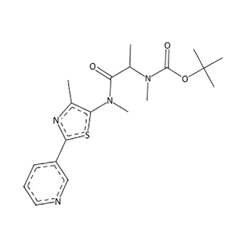 Cc1nc(-c2cccnc2)sc1N(C)C(=O)C(C)N(C)C(=O)OC(C)(C)C